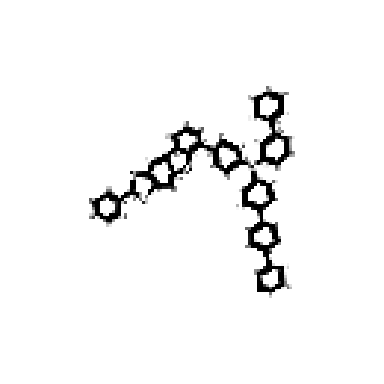 c1ccc(-c2ccc(-c3ccc(N(c4ccc(-c5cccc6c5oc5cc7oc(-c8ccccc8)nc7cc56)cc4)c4cccc(-c5ccccc5)c4)cc3)cc2)cc1